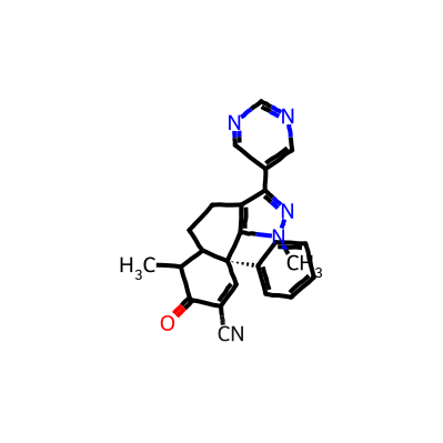 CC1C(=O)C(C#N)=C[C@]2(c3ccccc3)c3c(c(-c4cncnc4)nn3C)CCC12